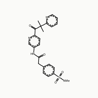 CNS(=O)(=O)c1ccc(CC(=O)Nc2ccc(C(=O)C(C)(C)c3ccccn3)nc2)cc1